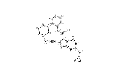 Nc1sc2cc(OC3CC3)cnc2c1C(=O)Nc1cnccc1N1CCC[C@@H](N)C1